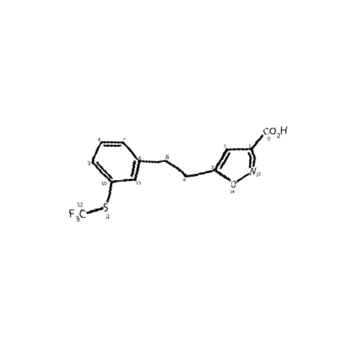 O=C(O)c1cc(CCc2cccc(SC(F)(F)F)c2)on1